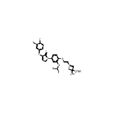 COC1(O)CN(CCOc2ccc(N3CC=C(Oc4ccc(F)c(F)c4)C3=O)cc2OC(F)F)C1